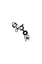 [CH2]C1CC(c2ccc(OC(F)(F)F)cc2)CN(C(=O)N2CCOCC2)C1